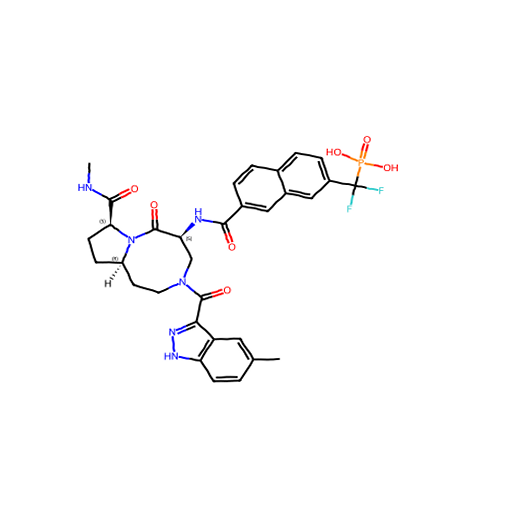 CNC(=O)[C@@H]1CC[C@@H]2CCN(C(=O)c3n[nH]c4ccc(C)cc34)C[C@H](NC(=O)c3ccc4ccc(C(F)(F)P(=O)(O)O)cc4c3)C(=O)N21